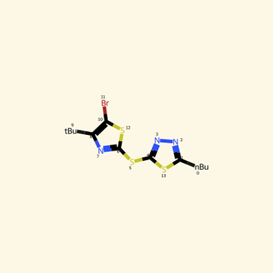 CCCCc1nnc(Sc2nc(C(C)(C)C)c(Br)s2)s1